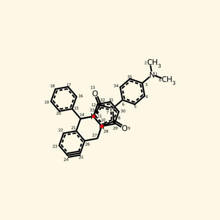 CN(C)c1ccc(-n2c(=O)n3n(c2=O)C2(c4ccccc4)c4ccc#cc4C3c3ccccc32)cc1